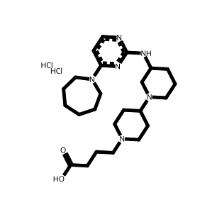 Cl.Cl.O=C(O)CCCN1CCC(N2CCCC(Nc3nccc(N4CCCCCC4)n3)C2)CC1